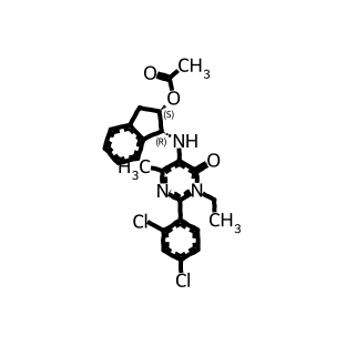 CCn1c(-c2ccc(Cl)cc2Cl)nc(C)c(N[C@@H]2c3ccccc3C[C@@H]2OC(C)=O)c1=O